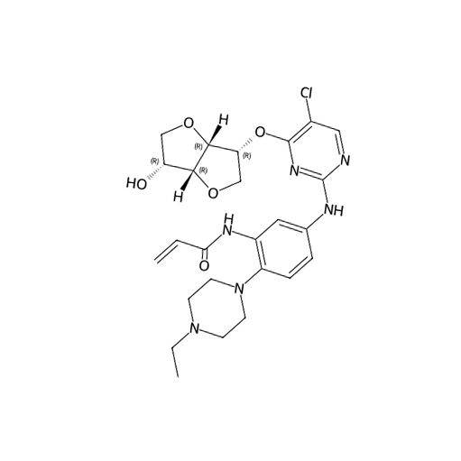 C=CC(=O)Nc1cc(Nc2ncc(Cl)c(O[C@@H]3CO[C@H]4[C@@H]3OC[C@H]4O)n2)ccc1N1CCN(CC)CC1